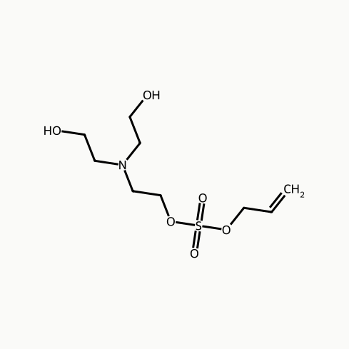 C=CCOS(=O)(=O)OCCN(CCO)CCO